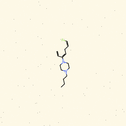 C=C/C(=C\C/C=C\F)N1CCN(CCCC)CC1